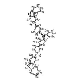 CC1(C)c2ccccc2-c2cc(-c3ccc(-c4ccc(N(c5ccccc5)c5ccc(-c6ccc7oc8ccccc8c7c6)cc5)cc4)cc3)ccc21